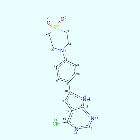 O=S1(=O)CCN(c2ccc(-c3cc4c(Cl)ncnc4[nH]3)cc2)CC1